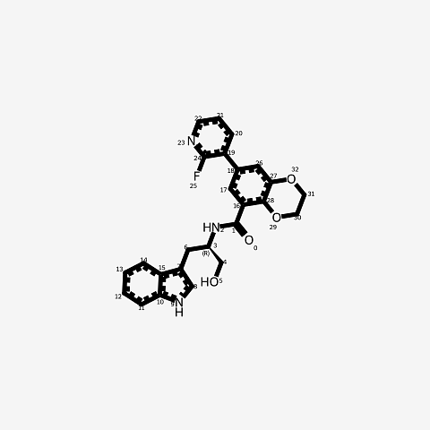 O=C(N[C@@H](CO)Cc1c[nH]c2ccccc12)c1cc(-c2cccnc2F)cc2c1OCCO2